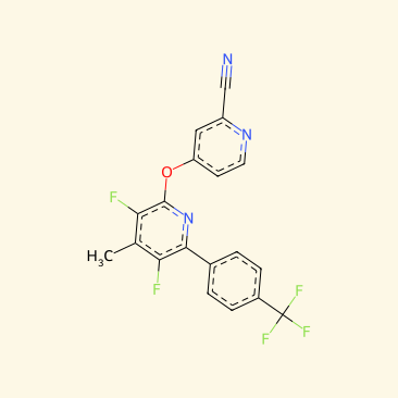 Cc1c(F)c(Oc2ccnc(C#N)c2)nc(-c2ccc(C(F)(F)F)cc2)c1F